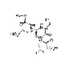 CC(C)C[C@H](NC(=O)[C@H](CCC(=O)O)NC(=O)OC(C)(C)C)C(=O)N[C@@H](CC(F)F)C(=O)C(=O)O